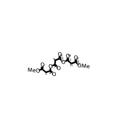 COC(=O)CC(=O)OC(=O)CC(=O)OC(=O)CC(=O)OC